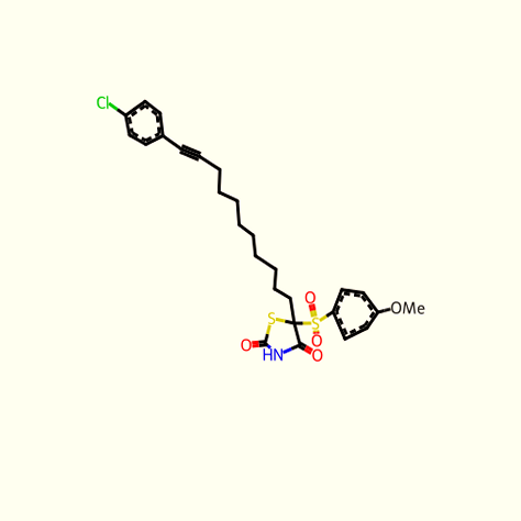 COc1ccc(S(=O)(=O)C2(CCCCCCCCCC#Cc3ccc(Cl)cc3)SC(=O)NC2=O)cc1